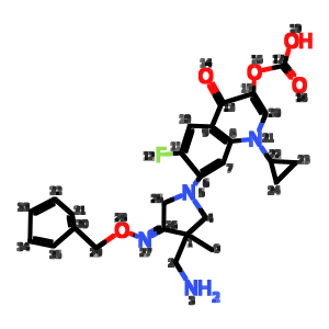 CC1(CN)CN(c2cc3c(cc2F)c(=O)c(OC(=O)O)cn3C2CC2)C/C1=N\OCc1ccccc1